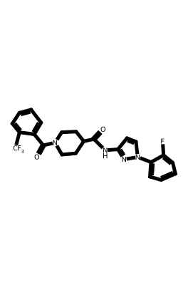 O=C(Nc1ccn(-c2ccccc2F)n1)C1CCN(C(=O)c2ccccc2C(F)(F)F)CC1